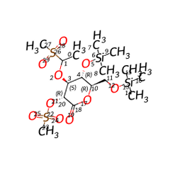 CC(O[C@H]1[C@H](O[Si](C)(C)C)[C@@H](CO[Si](C)(C)C)OC(=O)[C@@H]1OS(C)(=O)=O)S(C)(=O)=O